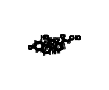 C[C@]12C=CC(=O)C=C1CC[C@H]1[C@@H]3CC=C(C(=O)CC=O)[C@@]3(C)CC(O)[C@@]12F